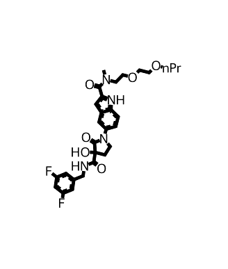 CCCOCCOCCN(C)C(=O)c1cc2cc(N3CCC(O)(C(=O)NCc4cc(F)cc(F)c4)C3=O)ccc2[nH]1